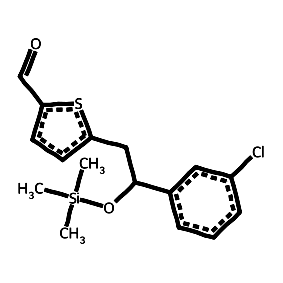 C[Si](C)(C)OC(Cc1ccc(C=O)s1)c1cccc(Cl)c1